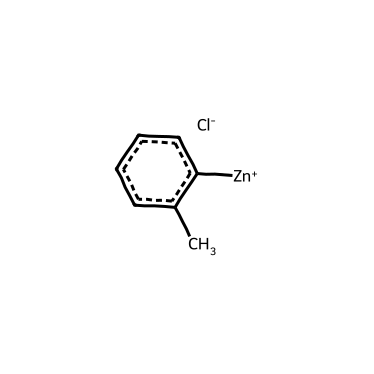 Cc1cccc[c]1[Zn+].[Cl-]